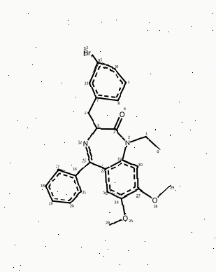 CCN1C(=O)C(Cc2cccc(Br)c2)N=C(c2ccccc2)c2cc(OC)c(OC)cc21